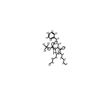 CCCCCN(CCCCC)C(=O)[C@H](COCc1ccccc1)NC(=O)OC(C)(C)C